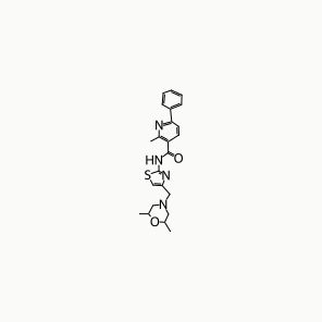 Cc1nc(-c2ccccc2)ccc1C(=O)Nc1nc(CN2CC(C)OC(C)C2)cs1